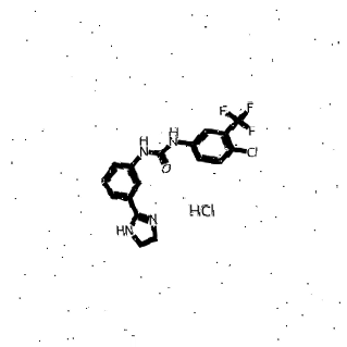 Cl.O=C(Nc1cccc(C2=NCCN2)c1)Nc1ccc(Cl)c(C(F)(F)F)c1